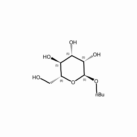 CCCCO[C@H]1O[C@H](CO)[C@@H](O)[C@H](O)[C@@H]1O